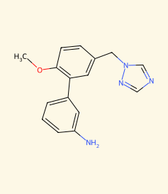 COc1ccc(Cn2cncn2)cc1-c1cccc(N)c1